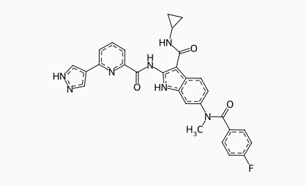 CN(C(=O)c1ccc(F)cc1)c1ccc2c(C(=O)NC3CC3)c(NC(=O)c3cccc(-c4cn[nH]c4)n3)[nH]c2c1